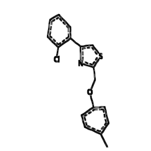 Cc1ccc(OCc2nc(-c3ccccc3Cl)cs2)cc1